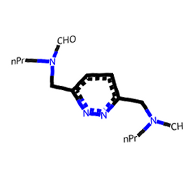 CCCN(C=O)Cc1ccc(CN(C=O)CCC)nn1